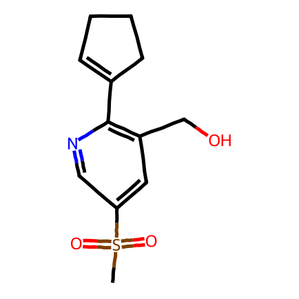 CS(=O)(=O)c1cnc(C2=CCCC2)c(CO)c1